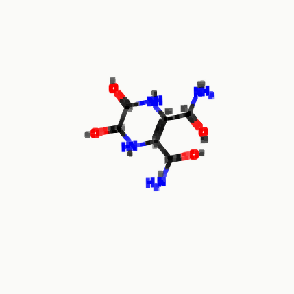 NC(=O)c1[nH]c(=O)c(=O)[nH]c1C(N)=O